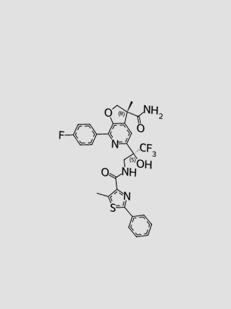 Cc1sc(-c2ccccc2)nc1C(=O)NC[C@](O)(c1cc2c(c(-c3ccc(F)cc3)n1)OC[C@]2(C)C(N)=O)C(F)(F)F